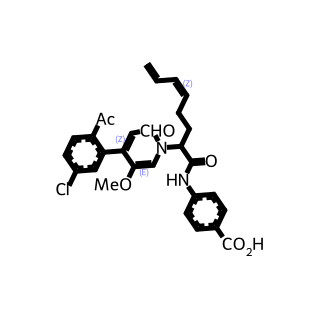 C=C/C=C\CCC(C(=O)Nc1ccc(C(=O)O)cc1)N(C)/C=C(OC)\C(=C/C=O)c1cc(Cl)ccc1C(C)=O